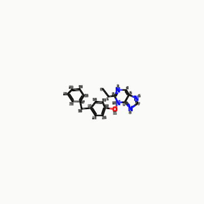 CCc1ncc2ncnc-2n1Oc1ccc(Cc2ccccc2)cc1